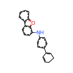 C1=CC(c2ccc(Nc3cccc4c3oc3ccccc34)cc2)=CCC1